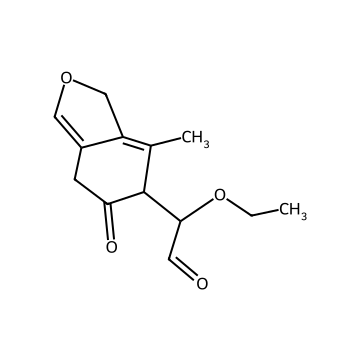 CCOC(C=O)C1C(=O)CC2=COCC2=C1C